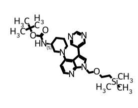 CC(C)(C)OC(=O)N[C@H]1CCCN(c2ccnc3c2c(-c2cncnc2)cn3COCC[Si](C)(C)C)C1